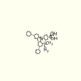 CC1(C)c2cc(B(O)O)ccc2-n2c3ccc(-c4ccccc4)cc3c3cc(-c4ccccc4)cc1c32